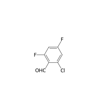 O=Cc1c(F)cc(F)cc1Cl